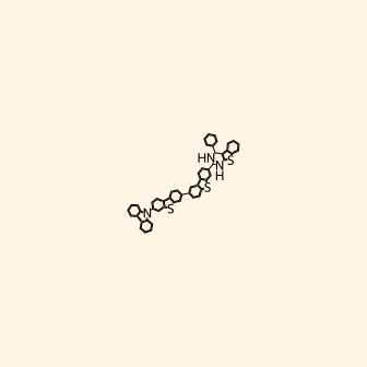 c1ccc(C2NC(c3ccc4c(c3)sc3ccc(-c5ccc6c(c5)sc5cc(-n7c8ccccc8c8ccccc87)ccc56)cc34)Nc3sc4ccccc4c32)cc1